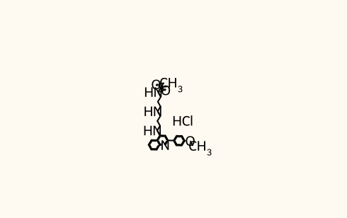 COc1ccc(-c2cc(NCCCNCCCNS(C)(=O)=O)c3ccccc3n2)cc1.Cl